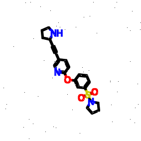 O=S(=O)(c1cccc(Oc2ccc(C#CC3CCCN3)cn2)c1)N1CCCC1